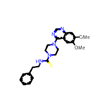 COc1cc2ncnc(N3CCN(C(=S)NCCc4ccccc4)CC3)c2cc1OC